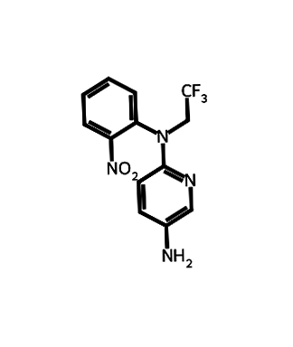 Nc1ccc(N(CC(F)(F)F)c2ccccc2[N+](=O)[O-])nc1